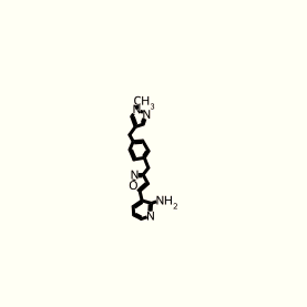 Cn1cc(Cc2ccc(Cc3cc(-c4cccnc4N)on3)cc2)cn1